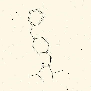 CC(C)N[C@@H](CN1CCN(Cc2ccccc2)CC1)C(C)C